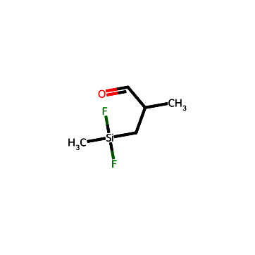 CC(C=O)C[Si](C)(F)F